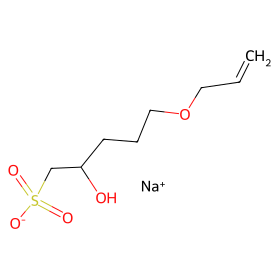 C=CCOCCCC(O)CS(=O)(=O)[O-].[Na+]